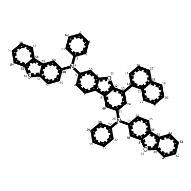 c1ccc(N(c2ccc3c(c2)oc2c(-c4cccc5ccccc45)cc(N(c4ccccc4)c4ccc5c(c4)oc4ccccc45)cc23)c2ccc3sc4ccccc4c3c2)cc1